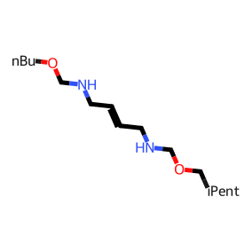 CCCCOCNCC=CCNCOCC(C)CCC